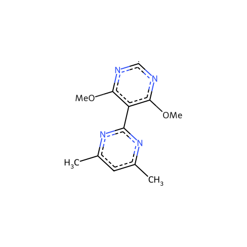 COc1n[c]nc(OC)c1-c1nc(C)cc(C)n1